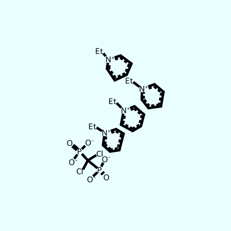 CC[n+]1ccccc1.CC[n+]1ccccc1.CC[n+]1ccccc1.CC[n+]1ccccc1.O=P([O-])([O-])C(Cl)(Cl)P(=O)([O-])[O-]